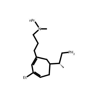 CCCN(C)CCCC1=CC(CC)=CCC([C@@H](C)CP)C1